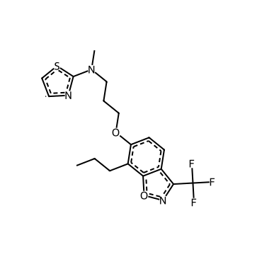 CCCc1c(OCCCN(C)c2n[c]cs2)ccc2c(C(F)(F)F)noc12